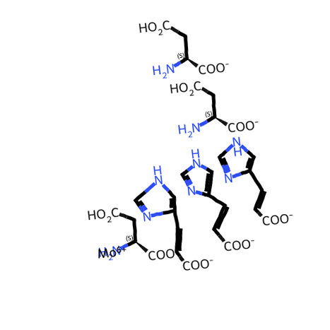 N[C@@H](CC(=O)O)C(=O)[O-].N[C@@H](CC(=O)O)C(=O)[O-].N[C@@H](CC(=O)O)C(=O)[O-].O=C([O-])C=Cc1c[nH]cn1.O=C([O-])C=Cc1c[nH]cn1.O=C([O-])C=Cc1c[nH]cn1.[Mo+6]